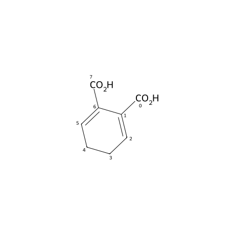 O=C(O)C1=CCCC=C1C(=O)O